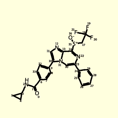 O=C(NC1CC1)c1ccc(-c2cnc3c([S+]([O-])CC(F)(F)F)nc(-c4ccccc4)cn23)cc1